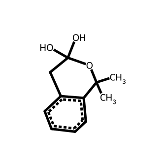 CC1(C)OC(O)(O)Cc2ccccc21